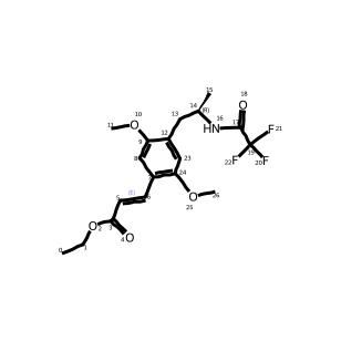 CCOC(=O)/C=C/c1cc(OC)c(C[C@@H](C)NC(=O)C(F)(F)F)cc1OC